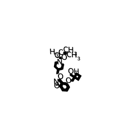 CC(C)(C)OC(=O)N1CCC(COc2noc3cccc(OCC4(CO)CCC4)c23)CC1